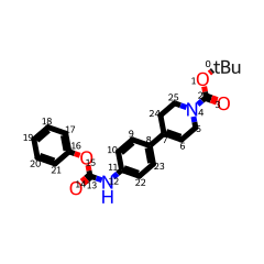 CC(C)(C)OC(=O)N1CC=C(c2ccc(NC(=O)Oc3ccccc3)cc2)CC1